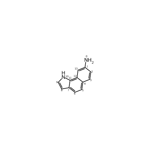 Nc1ccc2ccc3cc[nH]c3c2c1